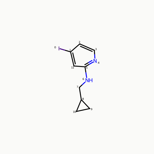 Ic1ccnc(NCC2CC2)c1